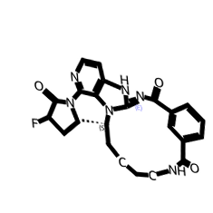 C[C@H]1CCCCNC(=O)c2cccc(c2)C(=O)/N=C2\Nc3ccnc(N4CCC(F)C4=O)c3N21